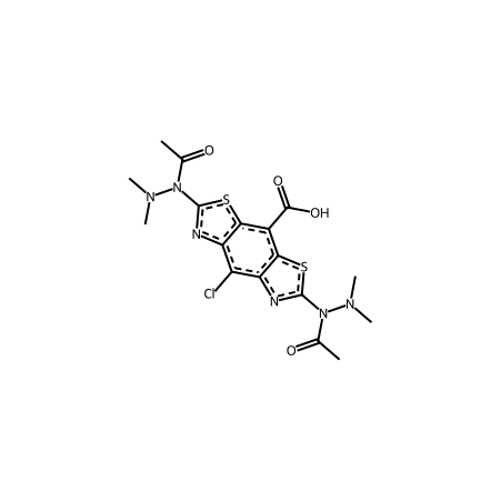 CC(=O)N(c1nc2c(Cl)c3nc(N(C(C)=O)N(C)C)sc3c(C(=O)O)c2s1)N(C)C